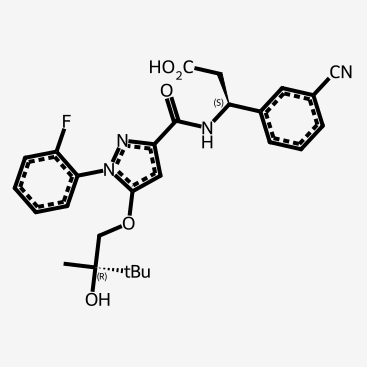 CC(C)(C)[C@@](C)(O)COc1cc(C(=O)N[C@@H](CC(=O)O)c2cccc(C#N)c2)nn1-c1ccccc1F